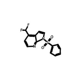 O=S(=O)(c1ccccc1)n1ccc2c(C(F)F)ccnc21